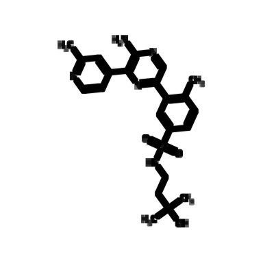 Cc1cc(-c2nc(-c3cc(S(=O)(=O)NCCC(C)(O)C(F)(F)F)ccc3C)cnc2N)ccn1